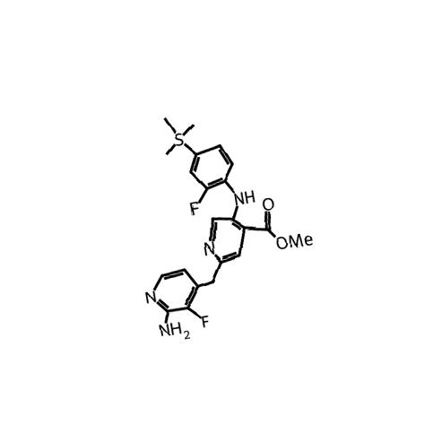 COC(=O)c1cc(Cc2ccnc(N)c2F)ncc1Nc1ccc(S(C)(C)C)cc1F